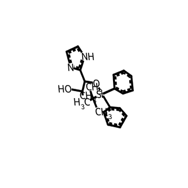 CC(O)C(O[Si](c1ccccc1)(c1ccccc1)C(C)(C)C)c1ncc[nH]1